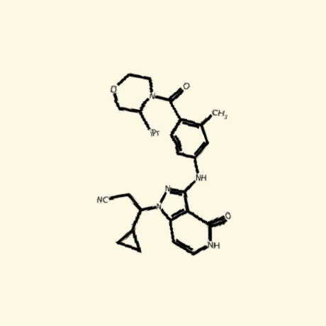 Cc1cc(Nc2nn(C(CC#N)C3CC3)c3cc[nH]c(=O)c23)ccc1C(=O)N1CCOCC1C(C)C